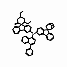 C=C1CC(CC)CC(CC)C12c1ccccc1-c1cc(N(c3ccc4c(c3)-c3ccccc3C43CC4CCC3C4)c3ccc(-c4ccccc4)c4ccccc34)ccc12